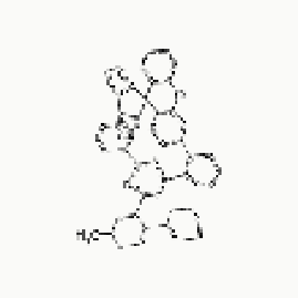 CC1C=C(c2cc(-c3ccccc3-c3ccc4c(c3)Oc3ccccc3C43c4ccccc4-c4ccccc43)nc(-c3ccccc3)n2)C(C2=CC=CCC2)=CC1